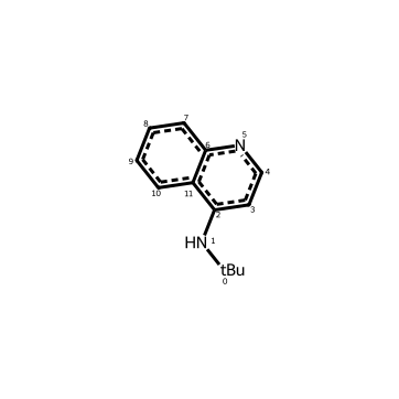 CC(C)(C)Nc1ccnc2ccccc12